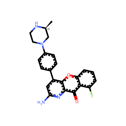 C[C@H]1CN(c2ccc(-c3cc(N)nc4c(=O)c5c(F)cccc5oc34)cc2)CCN1